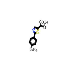 CCC(C(=O)O)c1cnc(-c2ccc(OC)cc2)s1